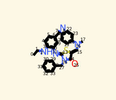 CCNc1ccc(C#N)cc1N=C1SC(=CN(C)c2ccccc2)C(=O)N1Cc1ccccc1